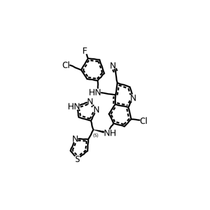 N#Cc1cnc2c(Cl)cc(N[C@@H](c3cscn3)c3c[nH]nn3)cc2c1Nc1ccc(F)c(Cl)c1